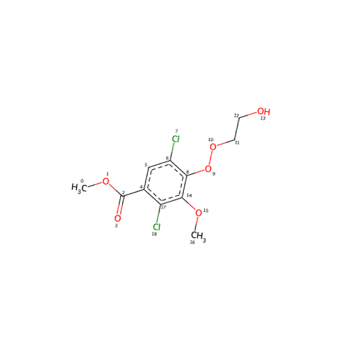 COC(=O)c1cc(Cl)c(OOCCO)c(OC)c1Cl